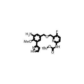 COc1c(N)cc(COCc2nc(NC(=O)OC(C)(C)C)ccc2F)cc1-c1cc[nH]n1